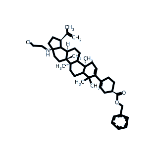 C=C(C)[C@@H]1CC[C@]2(NCCCl)CC[C@]3(C)[C@H](CCC4[C@@]5(C)CC=C(C6=CC[C@H](C(=O)OCc7ccccc7)CC6)C(C)(C)C5CC[C@]43C)C12